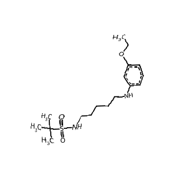 CCOc1cccc(NCCCCCNS(=O)(=O)C(C)(C)C)c1